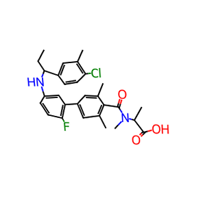 CCC(Nc1ccc(F)c(-c2cc(C)c(C(=O)N(C)C(C)C(=O)O)c(C)c2)c1)c1ccc(Cl)c(C)c1